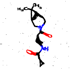 CC1(C)C2CN(C(=O)CNC(=O)C3CC3)CC21